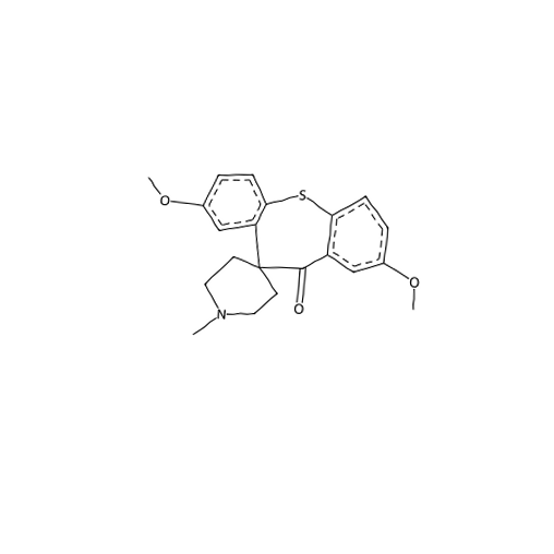 COc1ccc2c(c1)C(=O)C1(CCN(C)CC1)c1cc(OC)ccc1S2